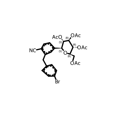 CC(=O)OC[C@H]1O[C@@H](c2ccc(C#N)c(Cc3ccc(Br)cc3)c2)[C@H](OC(C)=O)[C@@H](OC(C)=O)[C@@H]1OC(C)=O